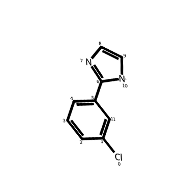 Clc1cccc(C2=NC=C[N]2)c1